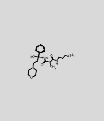 CCCCNC(=O)C(C)C(=O)N[C@](O)(CCN1CCOCC1)c1ccccc1